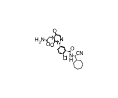 N#CC(NC(=O)c1cc(-n2ncc(=O)n(CC(N)=O)c2=O)ccc1Cl)C1CCCCCC1